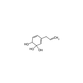 C=CCC1=CC(O)(O)C(O)C=C1